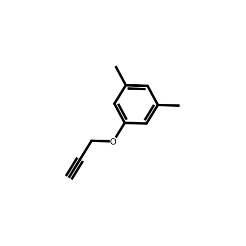 C#CCOc1cc(C)cc(C)c1